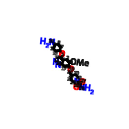 COc1cc2c(Oc3ccc(N)cc3)cnnc2cc1OCC1CCN(S(N)(=O)=O)CC1